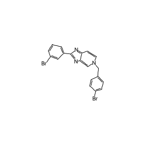 Brc1ccc(Cn2ccc3nc(-c4cccc(Br)c4)nc-3c2)cc1